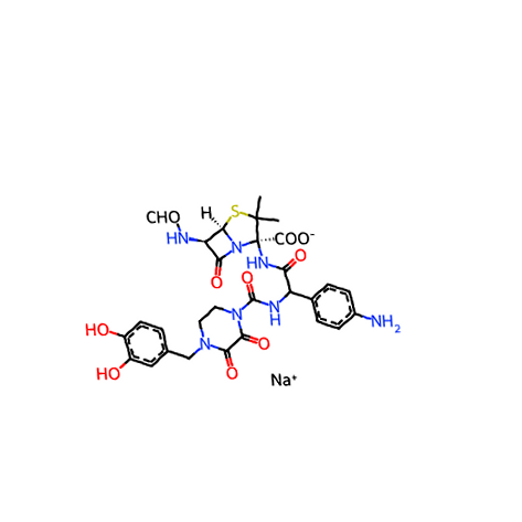 CC1(C)S[C@@H]2[C@H](NC=O)C(=O)N2[C@@]1(NC(=O)C(NC(=O)N1CCN(Cc2ccc(O)c(O)c2)C(=O)C1=O)c1ccc(N)cc1)C(=O)[O-].[Na+]